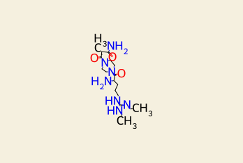 CCN=C(NCC)NCCC[C@@H](N)C(=O)N1CCN(C(=O)[C](C)C(N)=O)CC1